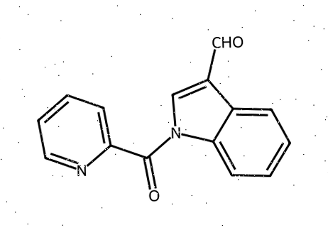 O=Cc1cn(C(=O)c2ccccn2)c2ccccc12